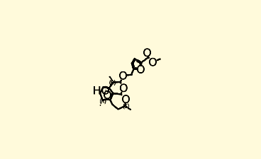 COC(=O)c1ccc(COC2OC3O[C@@H](C)CCC4[C@H](C)CCC([C@H]2C)C34OO)o1